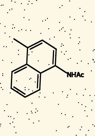 CC(=O)Nc1ccc(C)c2ccccc12